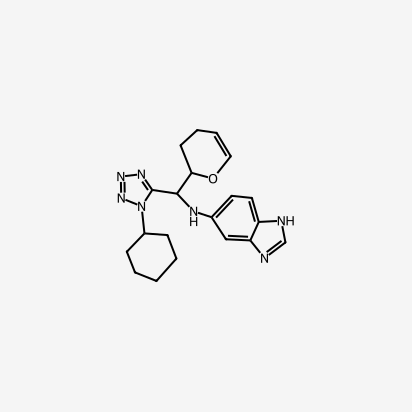 C1=COC(C(Nc2ccc3[nH]cnc3c2)c2nnnn2C2CCCCC2)CC1